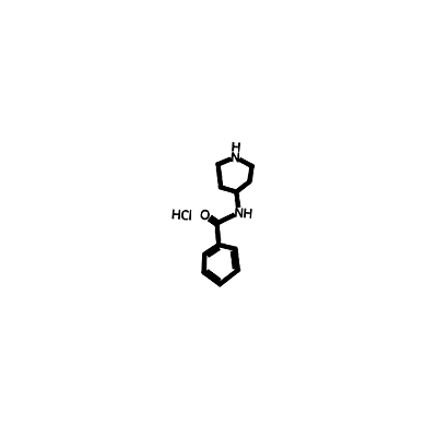 Cl.O=C(NC1CCNCC1)c1ccccc1